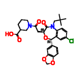 CC(C)(C)CN1C(=O)[C@H](CC(=O)N2CCCC(C(=O)O)C2)O[C@@H](c2ccc3c(c2)OCO3)c2cc(Cl)ccc21